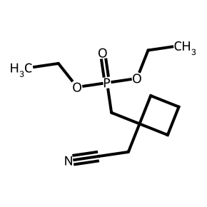 CCOP(=O)(CC1(CC#N)CCC1)OCC